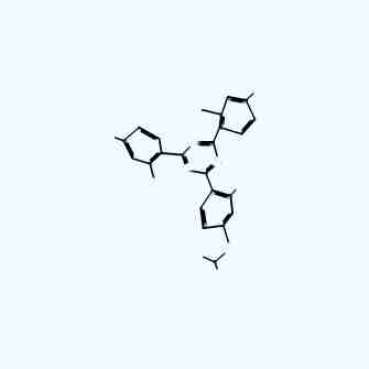 CCOC(=O)C(C)Oc1ccc(-c2nc(-c3ccc(C)cc3C)nc(-c3ccc(C)cc3C)n2)c(O)c1